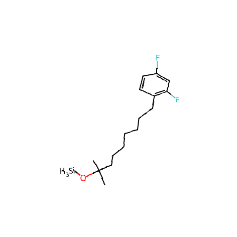 CC(C)(CCCCCCCc1ccc(F)cc1F)O[SiH3]